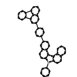 c1ccc(-n2c3ccc4ccccc4c3c3c4ccc(-c5ccc(-c6cc7c8c(cccc8c6)-c6ccccc6-7)cc5)cc4ccc32)cc1